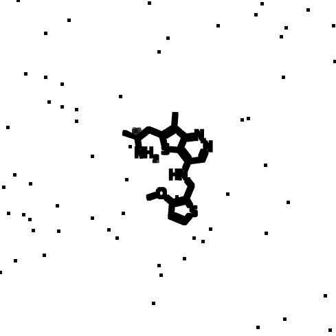 COc1ccsc1CNc1cnnc2c(C)c(C[C@H](C)N)sc12